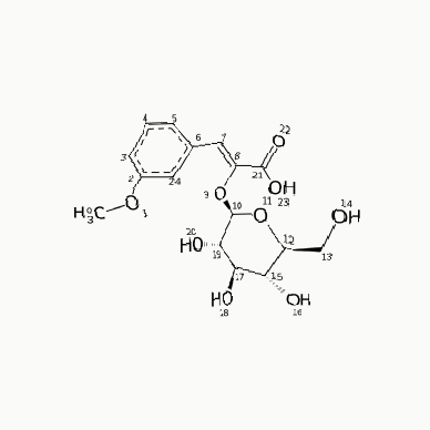 COc1cccc(C=C(O[C@H]2O[C@@H](CO)[C@H](O)[C@@H](O)[C@@H]2O)C(=O)O)c1